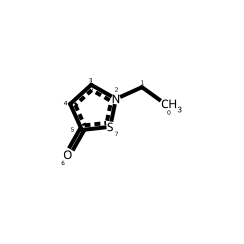 CCn1ccc(=O)s1